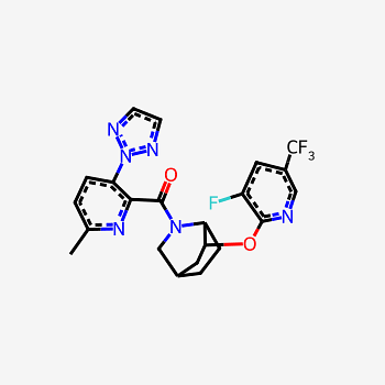 Cc1ccc(-n2nccn2)c(C(=O)N2CC3CCC2C(Oc2ncc(C(F)(F)F)cc2F)C3)n1